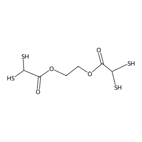 O=C(OCCOC(=O)C(S)S)C(S)S